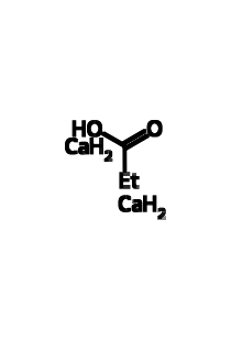 CCC(=O)O.[CaH2].[CaH2]